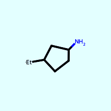 C[CH]C1CCC(N)C1